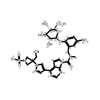 CCS(=O)(=O)N1CC(CC#N)(n2cc(-c3ncnc4c3ccn4C(=O)N(C)Cc3cc([N+](=O)[O-])ccc3O[C@@H]3O[C@H](C(=O)O)[C@@H](O)[C@H](O)[C@H]3O)cn2)C1